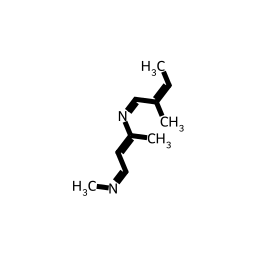 C\C=C(C)/C=N\C(C)=C\C=N/C